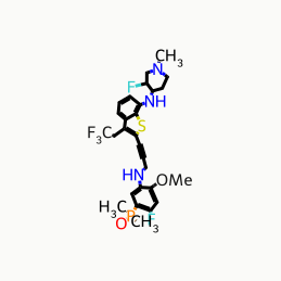 COc1cc(F)c(P(C)(C)=O)cc1NCC#Cc1sc2c(NC3CCN(C)CC3F)cccc2c1CC(F)(F)F